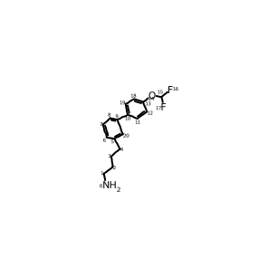 NCCCCc1cccc(-c2ccc(OC(F)F)cc2)c1